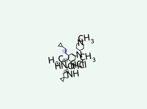 C[C@H](NC(=O)[C@@H]1CC2(CC2)CN1)c1ccc(N(C)C2CCN(C)CC2)cc1/C=C/C1CC1.Cl.Cl